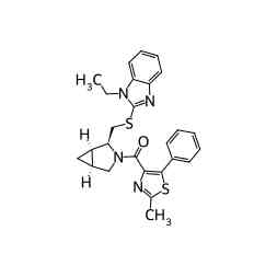 CCn1c(SC[C@@H]2[C@@H]3C[C@@H]3CN2C(=O)c2nc(C)sc2-c2ccccc2)nc2ccccc21